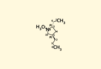 CCC[C@@H]1C[C@@H](CC)N(C)C1